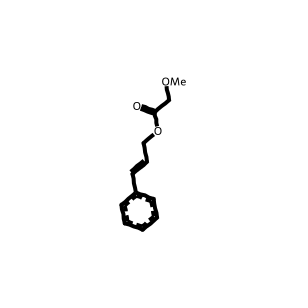 COCC(=O)OCC=Cc1ccccc1